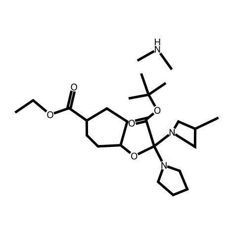 CCOC(=O)C1CCC(OC(C(=O)OC(C)(C)C)(N2CCCC2)N2CC(C)C2)CC1.CNC